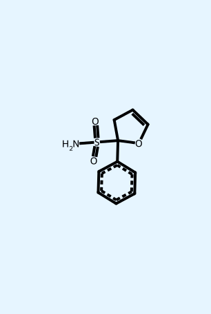 NS(=O)(=O)C1(c2ccccc2)CC=CO1